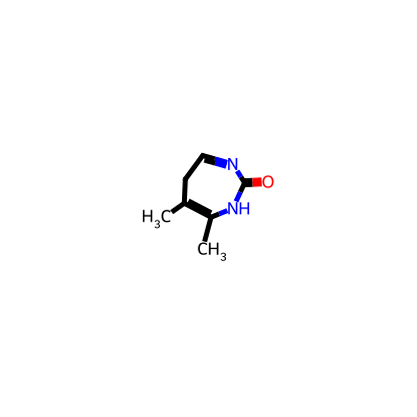 CC1=C(C)NC(=O)N=CC1